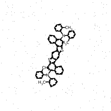 Cc1ccccc1N(c1ccccc1C)c1cc2sc3cc4c(cc3c2c2ccccc12)sc1cc(N(c2ccccc2C)c2ccccc2C)c2ccccc2c14